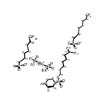 CC[N+](CC)(CC)CC.CC[N+](CC)(CC)CC.O=S(=O)(OCCCCCCC(F)F)N1CCNCC1.O=S(=O)([O-])CCCCCCC(F)(F)F.O=S(=O)([O-])CCCCCCC(F)(F)F